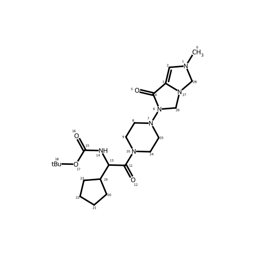 CN1C=C2C(=O)N(N3CCN(C(=O)C(NC(=O)OC(C)(C)C)C4CCCC4)CC3)CN2C1